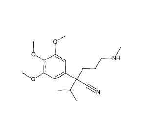 CNCCCC(C#N)(c1cc(OC)c(OC)c(OC)c1)C(C)C